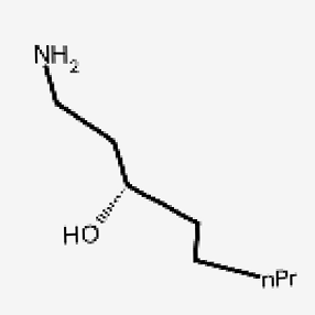 CCCCC[C@H](O)CCN